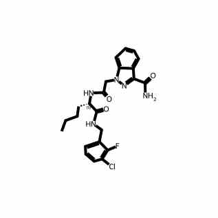 CCCC[C@H](NC(=O)Cn1nc(C(N)=O)c2ccccc21)C(=O)NCc1cccc(Cl)c1F